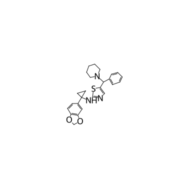 c1ccc(C(c2cnc(NC3(c4ccc5c(c4)OCO5)CC3)s2)N2CCCCC2)cc1